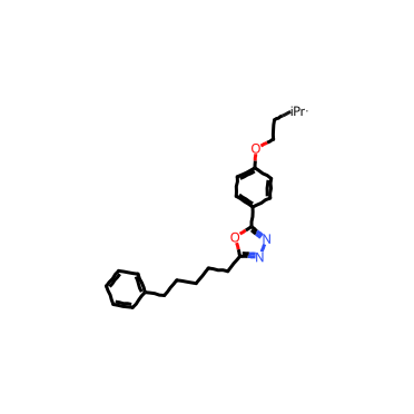 C[C](C)CCOc1ccc(-c2nnc(CCCCCc3ccccc3)o2)cc1